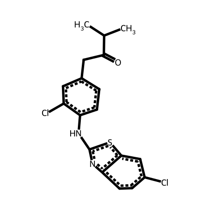 CC(C)C(=O)Cc1ccc(Nc2nc3ccc(Cl)cc3s2)c(Cl)c1